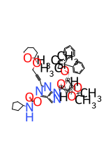 CC1(C)O[C@@H]2[C@H](O1)[C@@H](CO[Si](c1ccccc1)(c1ccccc1)C(C)(C)C)O[C@H]2n1ncc2c(OC(=O)NC3CCCC3)nc(C#CCOC3CCCCO3)nc21